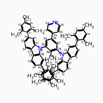 Cc1cc(C)c(-c2ccc3c4ccc(-c5c(C)cc(C)cc5C)cc4n(-c4cc(-c5ccncc5)cc(-n5c6cc(-c7c(C)cc(C)cc7C)ccc6c6ccc(-c7c(C)cc(C)cc7C)cc65)c4C#N)c3c2)c(C)c1